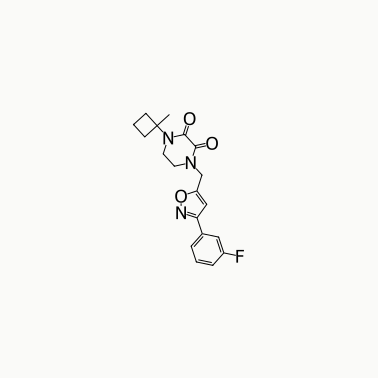 CC1(N2CCN(Cc3cc(-c4cccc(F)c4)no3)C(=O)C2=O)CCC1